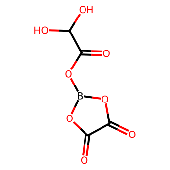 O=C1OB(OC(=O)C(O)O)OC1=O